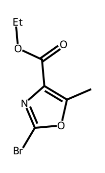 CCOC(=O)c1nc(Br)oc1C